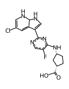 O=C(O)[C@H]1CC[C@@H](Nc2nc(C3=CNC4NC=C(Cl)C=C34)ncc2F)C1